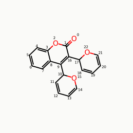 O=c1oc2ccccc2c(C2C=CC=CO2)c1C1C=CC=CO1